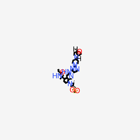 C=CC(=O)NC(C)(C)c1ccc(N2C[C@H](CS(C)(=O)=O)[C@H]2C)c2cnc(Nc3ccnc(N4CCC(N5CC[C@H]6C[C@@H]5CO6)CC4)n3)cc12